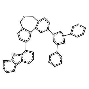 c1cncc(-c2cc(-c3cccnc3)cc(-c3ccc4c(c3)-c3cc(-c5cccc6c5oc5ccccc56)ccc3CSC4)c2)c1